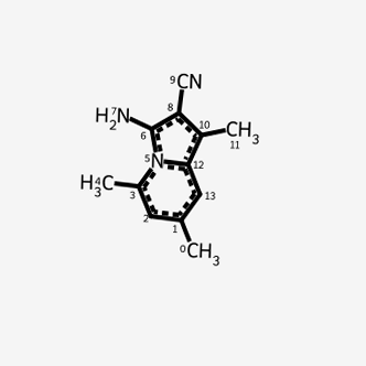 Cc1cc(C)n2c(N)c(C#N)c(C)c2c1